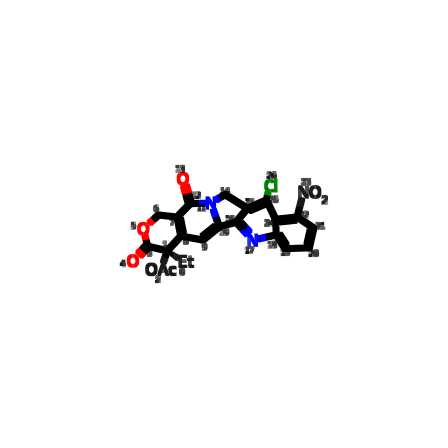 CC[C@@]1(OC(C)=O)C(=O)OCc2c1cc1n(c2=O)Cc2c-1nc1cccc([N+](=O)[O-])c1c2Cl